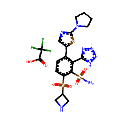 NS(=O)(=O)c1c(S(=O)(=O)C2CNC2)ccc(-c2cnc(N3CCCC3)s2)c1-c1nnn[nH]1.O=C(O)C(F)(F)F